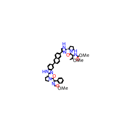 COO/C=N\[C@@H](C(=O)N1CCC[C@H]1c1nc2cc(-c3ccc4cc(-c5c[nH]c([C@@H]6CCCN6C(=O)[C@@H](NC(=O)OC)[C@@H](C)OC)n5)ccc4c3)ccc2[nH]1)c1ccccc1